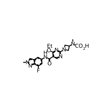 CCOc1nc(N2CC(N(C)C(=O)O)C2)ncc1C(=O)Nc1cc(F)c2nn(C)cc2c1